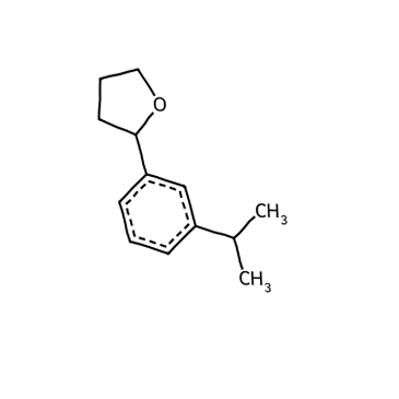 CC(C)c1cccc(C2CCCO2)c1